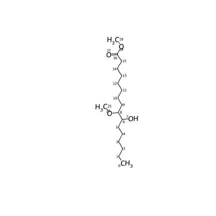 CCCCCCC(O)C(CCCCCCCC(=O)OC)OC